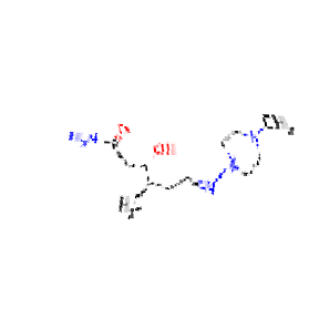 C[C@H](C/C=N/N1CCN(C)CC1)[C@@H](O)CC(N)=O